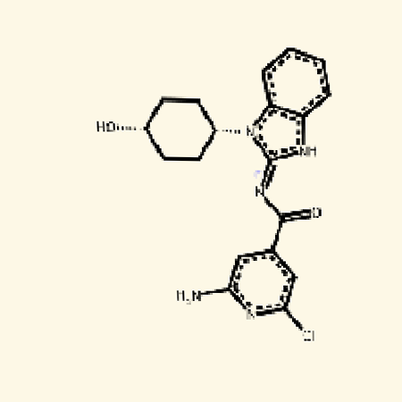 Nc1cc(C(=O)/N=c2\[nH]c3ccccc3n2[C@H]2CC[C@@H](O)CC2)cc(Cl)n1